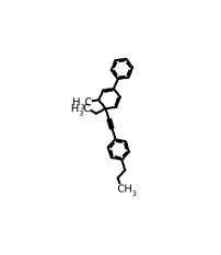 CCCc1ccc(C#CC2(CC)C=CC(c3ccccc3)=CC2C)cc1